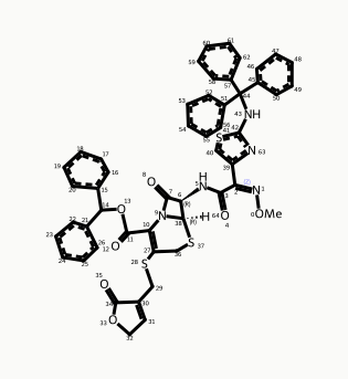 CO/N=C(\C(=O)N[C@@H]1C(=O)N2C(C(=O)OC(c3ccccc3)c3ccccc3)=C(SCC3=CCOC3=O)CS[C@H]12)c1csc(NC(c2ccccc2)(c2ccccc2)c2ccccc2)n1